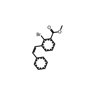 COC(=O)c1cccc(/C=C\c2ccccc2)c1Br